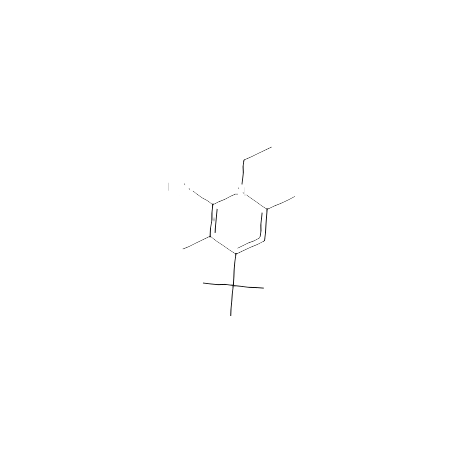 CCN1C(C)=C=C(C(C)(C)C)C(C)=C1N